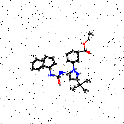 CCOC(=O)c1cccc(-n2nc(C(C)(C)C)cc2NC(=O)Nc2cccc3ccccc23)c1